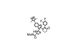 CNC(=O)c1cnc(-n2c([C@@H]3CCCC(=O)N3c3ccc(F)c(F)c3)nc3cc(-c4c(C)noc4C)ccc32)[nH]1